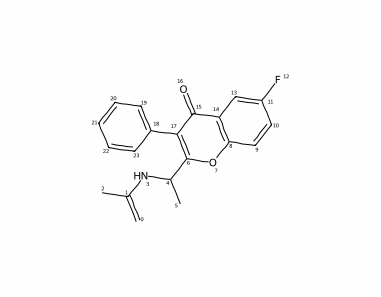 C=C(C)NC(C)c1oc2ccc(F)cc2c(=O)c1-c1ccccc1